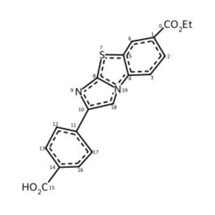 CCOC(=O)c1ccc2c(c1)sc1nc(-c3ccc(C(=O)O)cc3)cn12